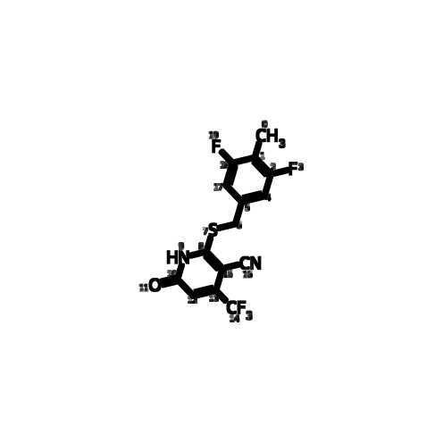 Cc1c(F)cc(CSc2[nH]c(=O)cc(C(F)(F)F)c2C#N)cc1F